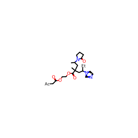 CCC(CC(C)(CC(C)N1CCCC1=O)C(=O)OCCOC(=O)CC(C)=O)n1ccnc1